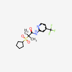 CC(C)(C(=O)Nc1cc(C(F)(F)F)ccn1)S(=O)(=O)C1CCCC1